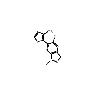 Cc1ncsc1-c1cc2c(cc1Cl)COB2O